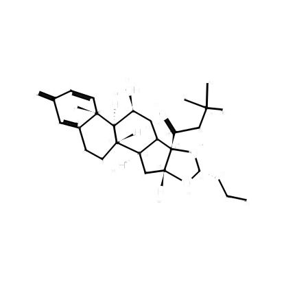 C=C1C=C[C@@]2(C)C(=C1)CC[C@@H]1[C@@H]2[C@@H](O)CC2[C@H]1C[C@H]1O[C@@H](CCC)O[C@@]21C(=O)CC(C)(C)C